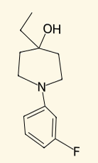 CCC1(O)CCN(c2cccc(F)c2)CC1